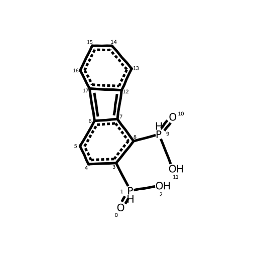 O=[PH](O)c1ccc2c(c1[PH](=O)O)=c1ccccc1=2